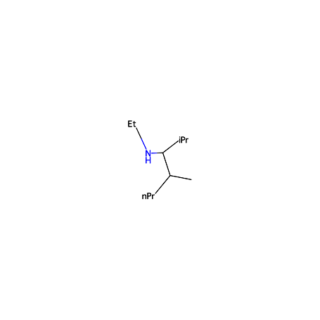 CCCC(C)C(NCC)C(C)C